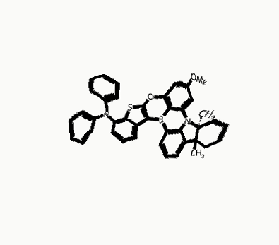 COc1cc2c3c(c1)N1c4c(cccc4C4(C)CCCC[C@]14C)B3c1c(sc3c(N(c4ccccc4)c4ccccc4)cccc13)O2